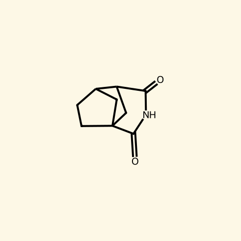 O=C1NC(=O)C23CCC(C2)C1C3